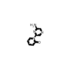 Nc1cncc(-n2ccccc2=O)n1